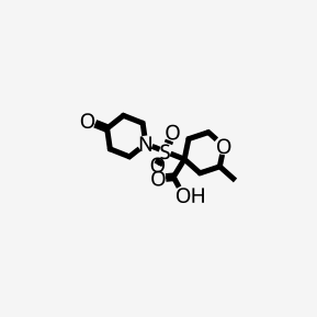 CC1CC(C(=O)O)(S(=O)(=O)N2CCC(=O)CC2)CCO1